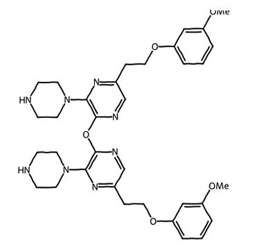 COc1cccc(OCCc2cnc(Oc3ncc(CCOc4cccc(OC)c4)nc3N3CCNCC3)c(N3CCNCC3)n2)c1